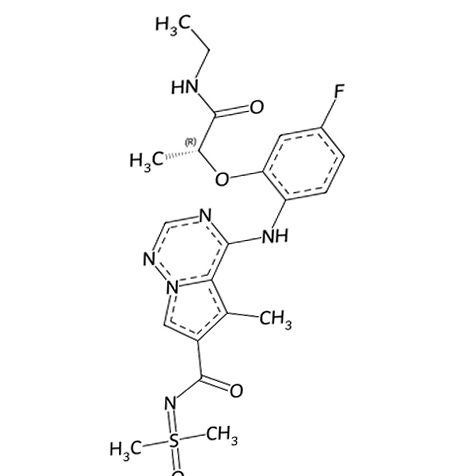 CCNC(=O)[C@@H](C)Oc1cc(F)ccc1Nc1ncnn2cc(C(=O)N=S(C)(C)=O)c(C)c12